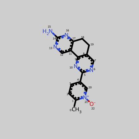 Cc1ccc(-c2ncc3c(n2)-c2cnc(N)nc2CC3)c[n+]1[O-]